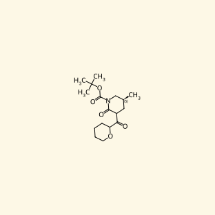 C[C@H]1CC(C(=O)C2CCCCO2)C(=O)N(C(=O)OC(C)(C)C)C1